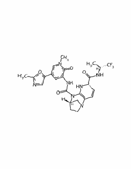 Cc1ncc(-c2cc(NC(=O)N3C4=C(C=CC(C(=O)N[C@H](C)C(F)(F)F)N4)N4CC[C@H]3C4)c(=O)n(C)c2)o1